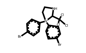 ClC(Cl)(Cl)C1NCC[N+]1(c1ccc(Br)cc1)c1ccc(Br)cc1